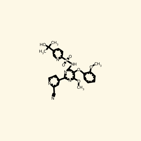 COc1ccccc1Oc1c(NS(=O)(=O)c2ccc(C(C)(C)O)cn2)nc(-c2ccnc(C#N)c2)nc1OC